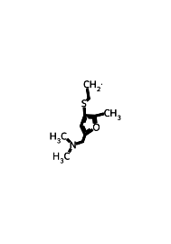 [CH2]CSc1cc(CN(C)C)oc1C